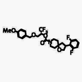 COc1ccc(COC[C@@H](OC(=O)N2CCC3(CC2)CC(c2c(F)cccc2F)CO3)C(F)(F)F)cc1